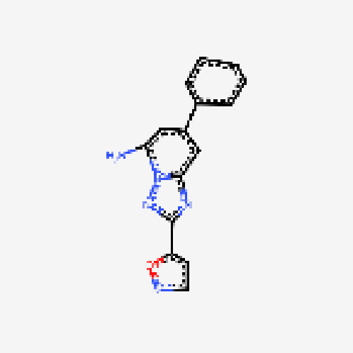 Nc1cc(-c2ccccc2)cc2nc(-c3ccno3)nn12